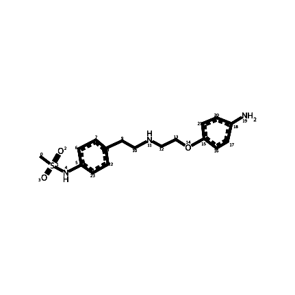 CS(=O)(=O)Nc1ccc(CCNCCOc2ccc(N)cc2)cc1